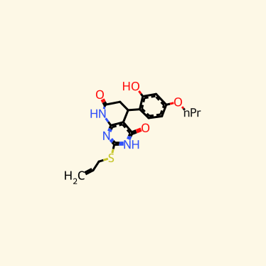 C=CCSc1nc2c(c(=O)[nH]1)C(c1ccc(OCCC)cc1O)CC(=O)N2